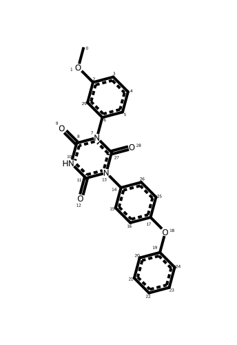 COc1cccc(-n2c(=O)[nH]c(=O)n(-c3ccc(Oc4ccccc4)cc3)c2=O)c1